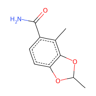 Cc1c(C(N)=O)ccc2c1OC(C)O2